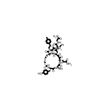 CC[C@H](C)[C@@H]1NC(=O)[C@H](Cc2ccc(O)cc2)NC(=O)CCSSC[C@@H](C(=O)N(CCc2ccc(C)cc2)CC(=O)N[C@@H](CC(C)C)C(=O)NCC(N)=O)NN[C@@H](CC(N)=O)C(=O)C(=O)[C@H](CCC(N)=O)NC1=O